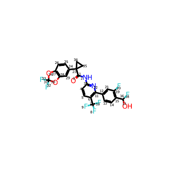 O=C(Nc1ccc(C(F)(F)F)c(-c2ccc(C(O)F)c(F)c2)n1)C1(c2ccc3c(c2)OC(F)(F)O3)CC1